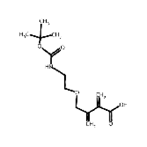 C=C(COCCNC(=O)OC(C)(C)C)C(=C)C(=O)O